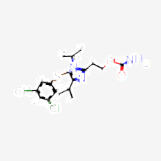 CC(C)c1nc(CCOC(N)=O)n(C(C)C)c1Sc1cc(Cl)cc(Cl)c1